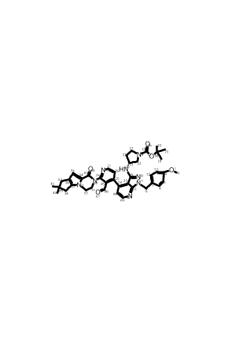 COc1ccc(Cn2nc(N[C@@H]3CCN(C(=O)OC(C)(C)C)C3)c3c(-c4ccnc(N5CCn6c(cc7c6CC(C)(C)C7)C5=O)c4C=O)ccnc32)cc1